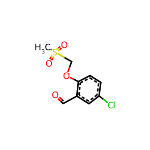 CS(=O)(=O)COc1ccc(Cl)cc1C=O